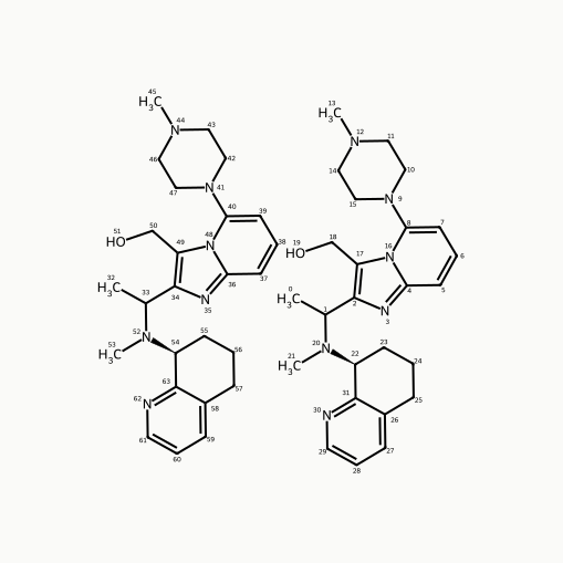 CC(c1nc2cccc(N3CCN(C)CC3)n2c1CO)N(C)[C@H]1CCCc2cccnc21.CC(c1nc2cccc(N3CCN(C)CC3)n2c1CO)N(C)[C@H]1CCCc2cccnc21